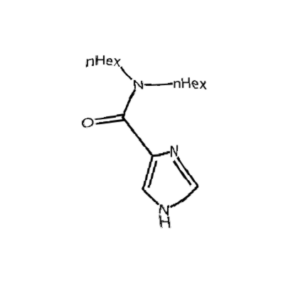 CCCCCCN(CCCCCC)C(=O)c1c[nH]cn1